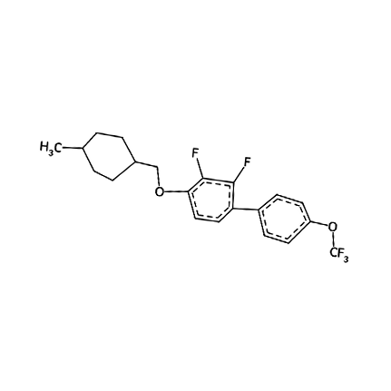 CC1CCC(COc2ccc(-c3ccc(OC(F)(F)F)cc3)c(F)c2F)CC1